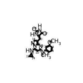 COc1cccc(N(C)c2cc(NC3CC3)n3ncc(/C=C4\NC(=O)NC4=O)c3n2)c1